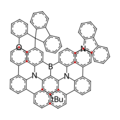 CC(C)(C)c1cc2c3c(c1)N(c1c(-c4ccccc4)cccc1-c1ccccc1)c1cc4c(cc1B3c1ccc(-n3c5ccccc5c5ccccc53)cc1N2c1c(-c2ccccc2)cccc1-c1ccccc1)C1(c2ccccc2O4)c2ccccc2-c2ccccc21